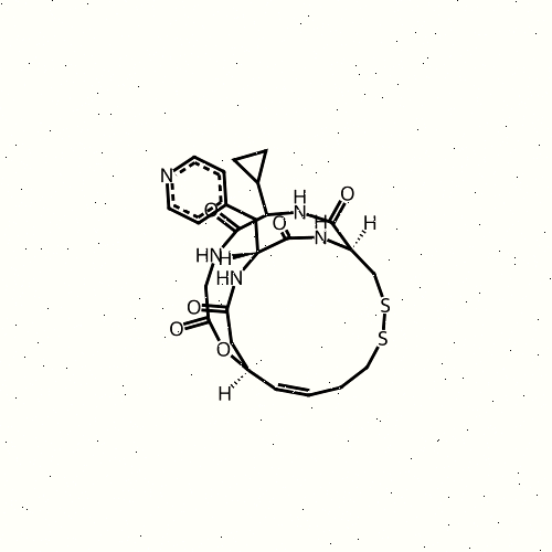 O=C1C[C@H]2C=CCCSSC[C@@H](NC(=O)[C@@H](Cc3ccncc3)N1)C(=O)NC(C1CC1)C(=O)NCC(=O)O2